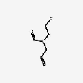 C=CCN([C]=O)CCCl